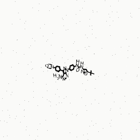 CC(C)(C)c1cc(NC(=O)Nc2ccc(-n3nc(-c4ccc(N5CCOCC5)cc4)c4c(N)ncnc43)cc2)no1